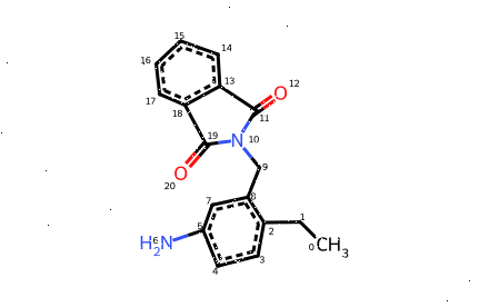 CCc1ccc(N)cc1CN1C(=O)c2ccccc2C1=O